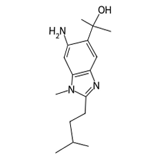 CC(C)CCc1nc2cc(C(C)(C)O)c(N)cc2n1C